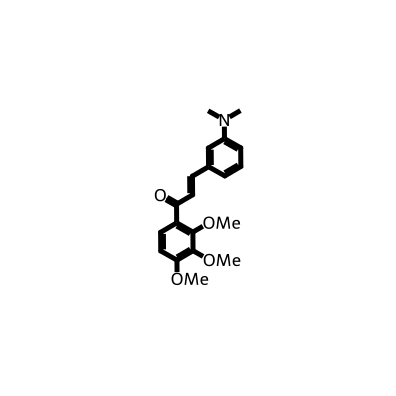 COc1ccc(C(=O)C=Cc2cccc(N(C)C)c2)c(OC)c1OC